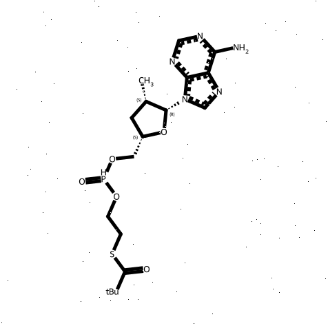 C[C@H]1C[C@@H](CO[PH](=O)OCCSC(=O)C(C)(C)C)O[C@H]1n1cnc2c(N)ncnc21